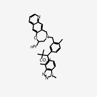 CCCC1CN(Cc2cc(C(c3ccc4c(nnn4C)c3C)C(C)(C)C(=O)O)ccc2C)Cc2cc3ncccc3cc2O1